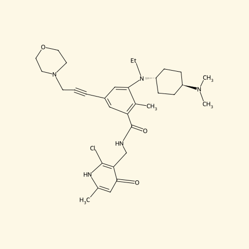 CCN(c1cc(C#CCN2CCOCC2)cc(C(=O)NCc2c(Cl)[nH]c(C)cc2=O)c1C)[C@H]1CC[C@H](N(C)C)CC1